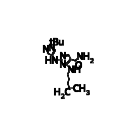 C=C(C)CCCNc1nc(Nc2cnn(C(C)(C)C)c2)ncc1C(N)=O